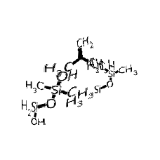 C=C(C)C.C[SiH](C)O[SiH3].C[Si](C)(O)O[SiH2]O